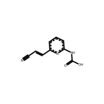 N#CC=Cc1cccc(NC(=O)O)n1